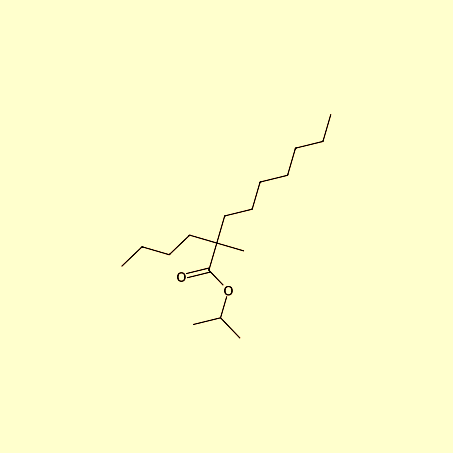 CCCCCCCC(C)(CCCC)C(=O)OC(C)C